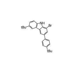 CC(C)(C)c1ccc(-c2cc(Br)c3[nH]c4ccc(C(C)(C)C)cc4c3c2)cc1